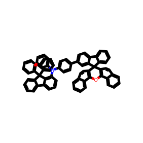 c1ccc(N(c2ccc(-c3ccc4c(c3)C3(c5ccccc5-4)c4ccc5ccccc5c4Oc4c3ccc3ccccc43)cc2)c2cccc3c2C(c2ccccc2)(c2ccccc2)c2ccccc2-3)cc1